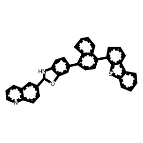 c1cnc2ccc(C3Nc4ccc(-c5ccc(-c6cccc7c6sc6ccccc67)c6ccccc56)cc4O3)cc2c1